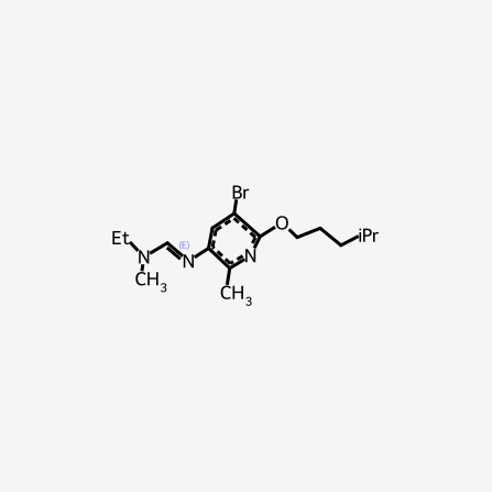 CCN(C)/C=N/c1cc(Br)c(OCCCC(C)C)nc1C